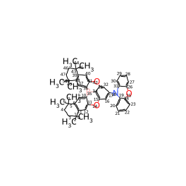 CC1(C)CCC(C)(C)c2cc3c(cc21)Oc1cc(N2c4ccccc4Oc4ccccc42)cc2c1B3c1cc3c(cc1O2)C(C)(C)CCC3(C)C